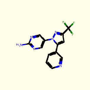 Nc1ncc(-n2nc(C(F)(F)F)cc2-c2cccnc2)cn1